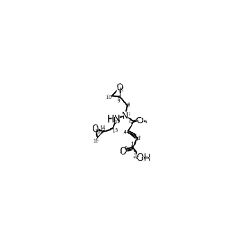 O=C(O)C=CC(=O)N(CC1CO1)NCC1CO1